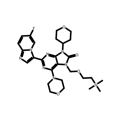 C[Si](C)(C)CCOCn1c(=O)n(C2CCOCC2)c2nc(-c3cnc4ccc(F)cn34)nc(N3CCOCC3)c21